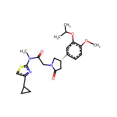 COc1ccc([C@@H]2CC(=O)N(CC(=O)N(C)c3nc(C4CC4)cs3)C2)cc1OC(C)C